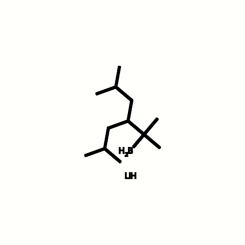 BC(C)(C)C(CC(C)C)CC(C)C.[LiH]